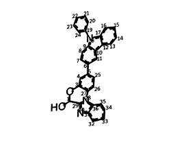 OC1Oc2cc(-c3ccc4c(c3)c3ccccc3n4-c3ccccc3)ccc2-n2c1nc1ccccc12